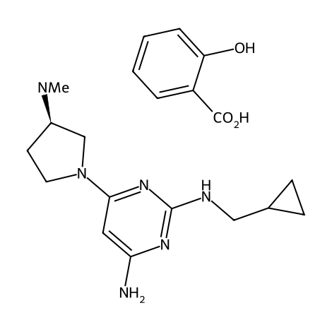 CN[C@@H]1CCN(c2cc(N)nc(NCC3CC3)n2)C1.O=C(O)c1ccccc1O